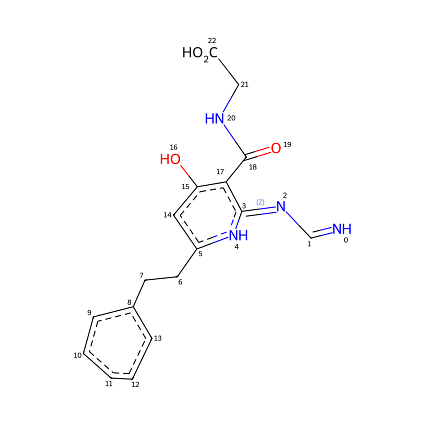 N=C/N=c1\[nH]c(CCc2ccccc2)cc(O)c1C(=O)NCC(=O)O